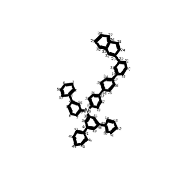 c1ccc(-c2cccc(N(c3ccc(-c4ccc(-c5cccc(-c6ccc7ccccc7c6)c5)cc4)cc3)c3cc(-c4ccccc4)cc(-c4ccccc4)c3)c2)cc1